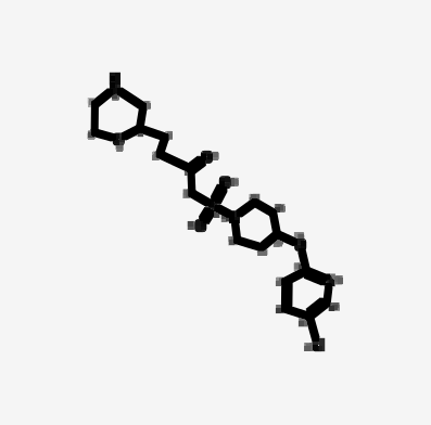 O=C(CCC1CNCCO1)CS(=O)(=O)N1CCC(Oc2ccc(Cl)cn2)CC1